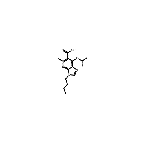 CCCCn1cnc2c(OC(C)C)c(C(=O)O)c(C)nc21